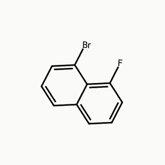 Fc1cccc2cccc(Br)c12